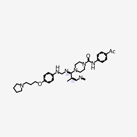 C=N/C=C(C)\C(=N/CNc1ccc(OCCCN2CCCC2)cc1)N1CCN(C(=O)Nc2ccc(C(C)=O)cc2)CC1